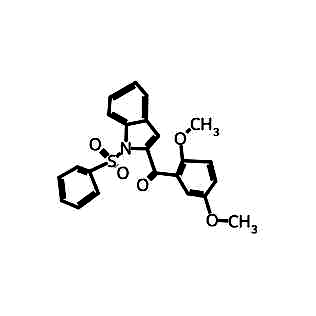 COc1ccc(OC)c(C(=O)c2cc3ccccc3n2S(=O)(=O)c2ccccc2)c1